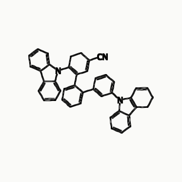 N#CC1=CC(c2ccccc2-c2cccc(-n3c4c(c5ccccc53)CCC=C4)c2)=C(n2c3ccccc3c3ccccc32)CC1